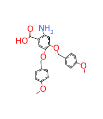 COc1ccc(COc2cc(N)c(C(=O)O)cc2OCc2ccc(OC)cc2)cc1